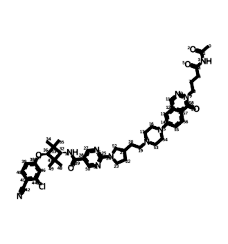 CC(=O)NC(=O)CCCn1ncc2cc(N3CCN(CCC4CCN(c5ncc(C(=O)N[C@H]6C(C)(C)[C@H](Oc7ccc(C#N)c(Cl)c7)C6(C)C)cn5)C4)CC3)ccc2c1=O